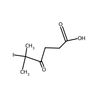 CC(C)(I)C(=O)CCC(=O)O